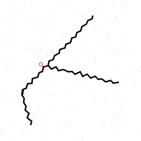 CCCCCCCC/C=C\CCCCCCCC(=O)[C](CCCCCCCCCCCCCCCCC)CCCCCCCCCCCCCCCCCC